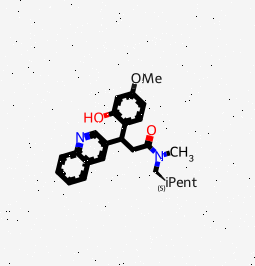 CCC[C@H](C)CN(C)C(=O)CC(c1cnc2ccccc2c1)c1ccc(OC)cc1O